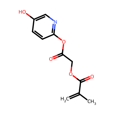 C=C(C)C(=O)OCC(=O)Oc1ccc(O)cn1